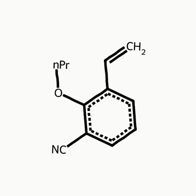 C=Cc1cccc(C#N)c1OCCC